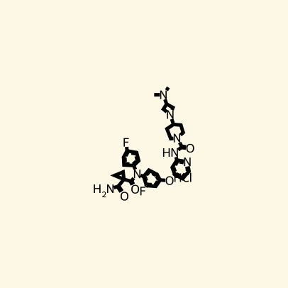 CN(C)C1CN(C2CCN(C(=O)Nc3cc(Oc4ccc(N(C(=O)C5(C(N)=O)CC5)c5ccc(F)cc5)c(F)c4)ccn3)CC2)C1.Cl